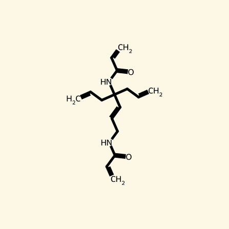 C=CCC(/C=C/CNC(=O)C=C)(CC=C)NC(=O)C=C